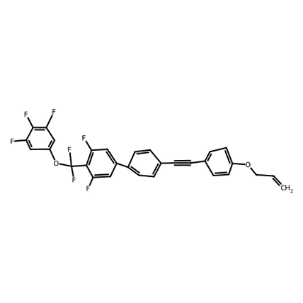 C=CCOc1ccc(C#Cc2ccc(-c3cc(F)c(C(F)(F)Oc4cc(F)c(F)c(F)c4)c(F)c3)cc2)cc1